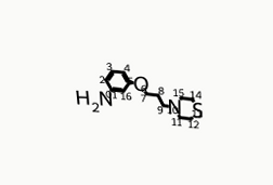 Nc1cccc(OCCCN2CCSCC2)c1